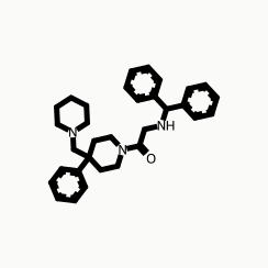 O=C(CNC(c1ccccc1)c1ccccc1)N1CCC(CN2CCCCC2)(c2ccccc2)CC1